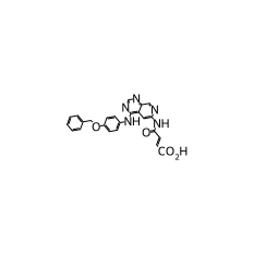 O=C(O)C=CC(=O)Nc1cc2c(Nc3ccc(OCc4ccccc4)cc3)ncnc2cn1